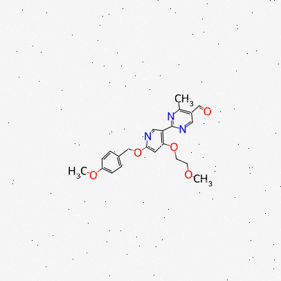 COCCOc1cc(OCc2ccc(OC)cc2)ncc1-c1ncc(C=O)c(C)n1